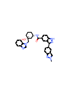 Cn1cc2cc(-c3n[nH]c4ccc(C(=O)N[C@H]5CCC[C@](O)(Cn6cnc7ccccc76)C5)cc34)ccc2n1